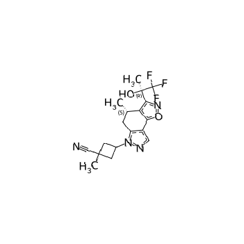 C[C@H]1Cc2c(cnn2C2CC(C)(C#N)C2)-c2onc([C@@](C)(O)C(F)(F)F)c21